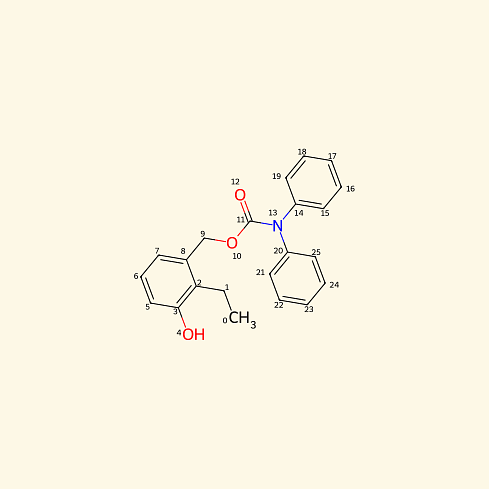 CCc1c(O)cccc1COC(=O)N(c1ccccc1)c1ccccc1